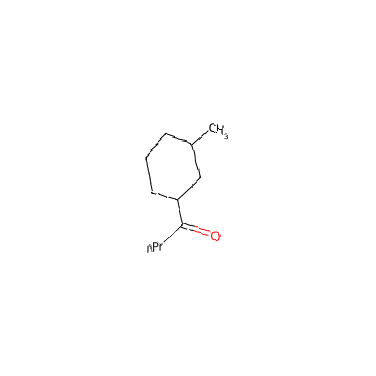 CCCC(=O)C1CCCC(C)C1